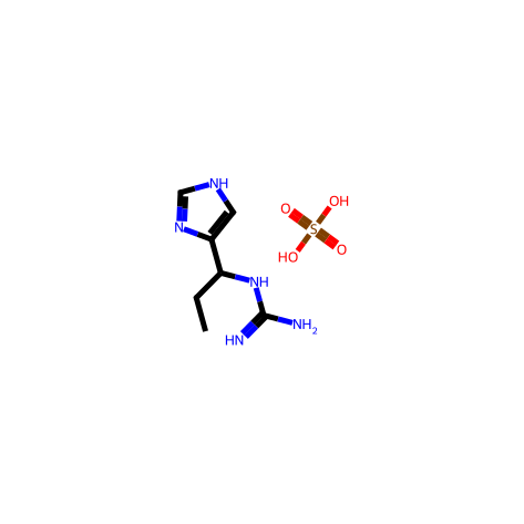 CCC(NC(=N)N)c1c[nH]cn1.O=S(=O)(O)O